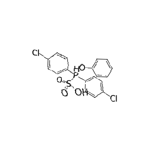 O=S(=O)(O)[PH](Oc1ccccc1)(c1ccc(Cl)cc1)c1ccc(Cl)cc1